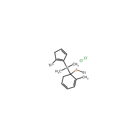 CCSC1([Si](C)(C)C2=[C]([Ti+2])CC=C2)CC=CC=C1C.[Cl-].[Cl-]